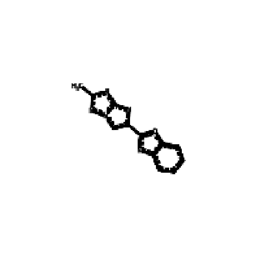 Cc1nn2cc(-c3nc4ccccc4o3)nc2s1